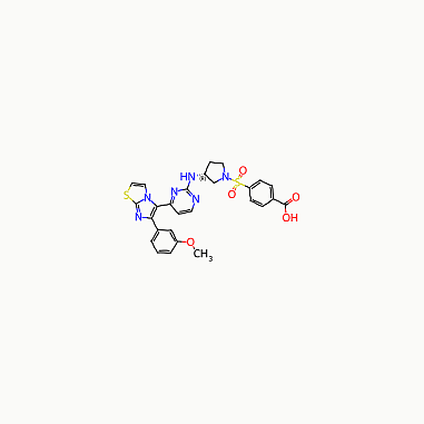 COc1cccc(-c2nc3sccn3c2-c2ccnc(N[C@@H]3CCN(S(=O)(=O)c4ccc(C(=O)O)cc4)C3)n2)c1